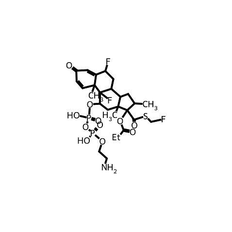 CCC(=O)OC1(C(=O)SCF)C(C)CC2C3CC(F)C4=CC(=O)C=CC4(C)C3(F)C(OP(=O)(O)OP(=O)(O)OCCN)CC21C